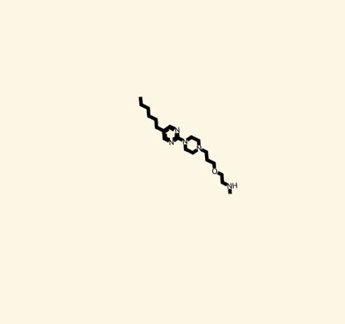 CCCCCCc1cnc(N2CCN(CCCOCCNC)CC2)nc1